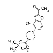 CC(=O)c1cc2c(Cl)c(N3CCN(C(=O)OC(C)(C)C)CC3)ccc2o1